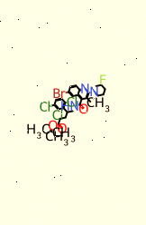 Cc1c(N2CCCC(F)C2)nc2ccc(Br)cc2c1C(=O)NCC(CCC(=O)OC(C)(C)C)c1c(Cl)ccc(Cl)c1Cl